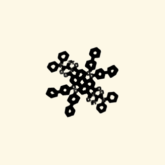 CC(C)C(C(=O)N(C1CCCCC1)C1CCCCC1)N1C(=O)c2cc(Oc3ccc(-c4ccccc4)cc3)c3c4c(Oc5ccc(-c6ccccc6)cc5)cc5c6c(cc(Oc7ccc(-c8ccccc8)cc7)c(c7c(Oc8ccc(-c9ccccc9)cc8)cc(c2c37)C1=O)c64)C(=O)N(C(C(=O)N(C1CCCCC1)C1CCCCC1)C(C)C)C5=O